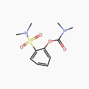 CN(C)C(=O)Oc1ccccc1S(=O)(=O)N(C)C